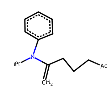 C=C(CCCC(C)=O)N(c1ccccc1)C(C)C